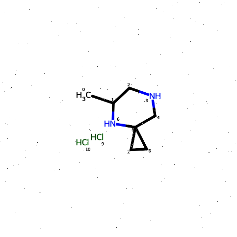 CC1CNCC2(CC2)N1.Cl.Cl